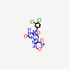 CN1COCN(C)c2nc(N3CCNC(=O)C3)n(Cc3nnc(-c4ccc(Cl)c(Cl)c4)o3)c2C1=O